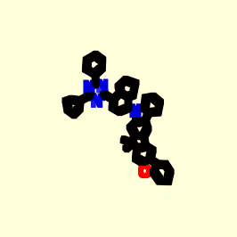 CC1(C)c2cc3oc4ccccc4c3cc2-c2cc3c4ccccc4n(-c4ccc(-c5nc(-c6ccccc6)nc(-c6ccccc6)n5)c5ccccc45)c3cc21